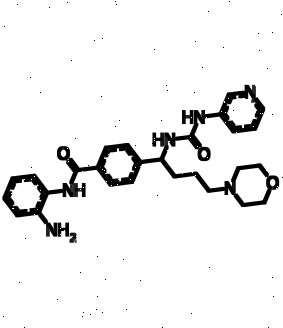 Nc1ccccc1NC(=O)c1ccc(C(CCCN2CCOCC2)NC(=O)Nc2cccnc2)cc1